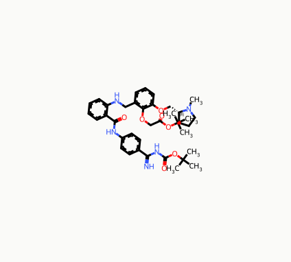 CN1CCC[C@@H]1COc1cccc(CNc2ccccc2C(=O)Nc2ccc(C(=N)NC(=O)OC(C)(C)C)cc2)c1OCC(=O)OC(C)(C)C